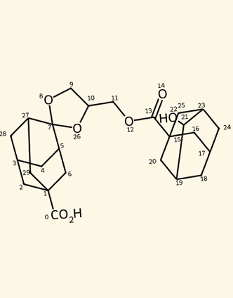 O=C(O)C12CC3CC(C1)C1(OCC(COC(=O)C45CC6CC(C4)C(O)C(C6)C5)O1)C(C3)C2